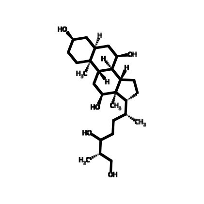 C[C@H](CCC(O)[C@@H](C)CO)[C@H]1CC[C@H]2[C@@H]3[C@H](O)C[C@@H]4C[C@H](O)CC[C@]4(C)[C@H]3C[C@H](O)[C@]12C